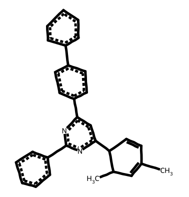 CC1=CC(C)C(c2cc(-c3ccc(-c4ccccc4)cc3)nc(-c3ccccc3)n2)C=C1